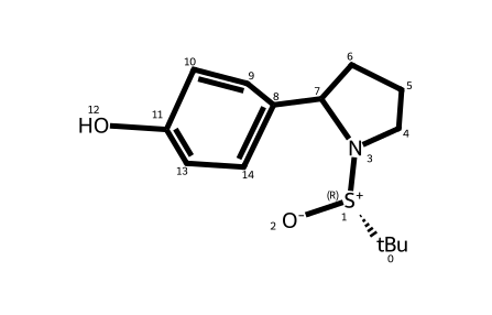 CC(C)(C)[S@+]([O-])N1CCCC1c1ccc(O)cc1